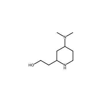 CN(C)C1CCNC(CCO)C1